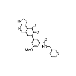 CCN1C(=O)N(c2cc(OC)cc(C(=O)NCc3cccnc3)c2)C=C2C=NC3NCCC3=C21